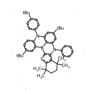 CC(C)(C)c1ccc(N2c3ccc(C(C)(C)C)cc3B3c4sc5c(c4N(c4ccccc4)c4cc(C(C)(C)C)cc2c43)C(C)(C)CCC5(C)C)cc1